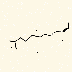 CC/C=C\CCCCCCCC(OC)OC